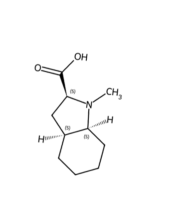 CN1[C@H](C(=O)O)C[C@@H]2CCCC[C@@H]21